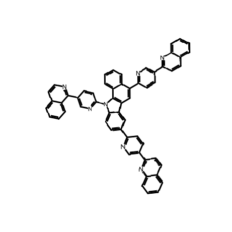 c1ccc2nc(-c3ccc(-c4ccc5c(c4)c4cc(-c6ccc(-c7ccc8ccccc8n7)cn6)c6ccccc6c4n5-c4ccc(-c5nccc6ccccc56)cn4)nc3)ccc2c1